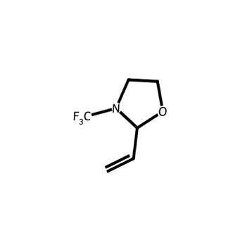 C=CC1OCCN1C(F)(F)F